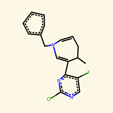 CC1CC=CN(Cc2ccccc2)C=C1c1nc(Cl)ncc1F